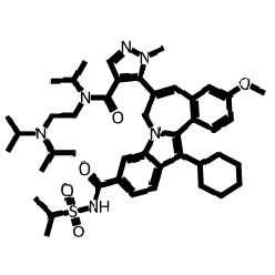 COc1ccc2c(c1)C=C(c1c(C(=O)N(CCN(C(C)C)C(C)C)C(C)C)cnn1C)Cn1c-2c(C2CCCCC2)c2ccc(C(=O)NS(=O)(=O)C(C)C)cc21